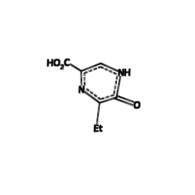 CCc1nc(C(=O)O)c[nH]c1=O